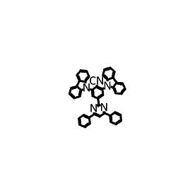 N#Cc1c(-n2c3ccccc3c3ccccc32)cc(-c2nc(-c3ccccc3)cc(-c3ccccc3)n2)cc1-n1c2ccccc2c2ccccc21